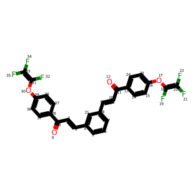 O=C(C=Cc1cccc(C=CC(=O)c2ccc(OC(F)=C(F)F)cc2)c1)c1ccc(OC(F)=C(F)F)cc1